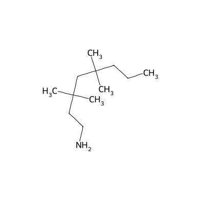 CCCC(C)(C)CC(C)(C)CCN